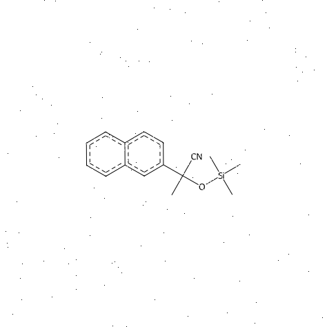 CC(C#N)(O[Si](C)(C)C)c1ccc2ccccc2c1